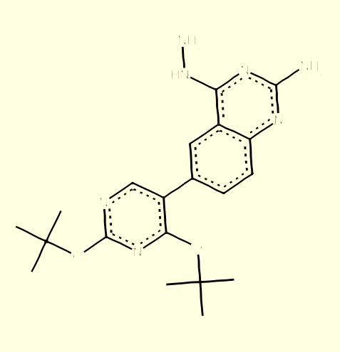 CC(C)(C)Oc1ncc(-c2ccc3nc(N)nc(NN)c3c2)c(OC(C)(C)C)n1